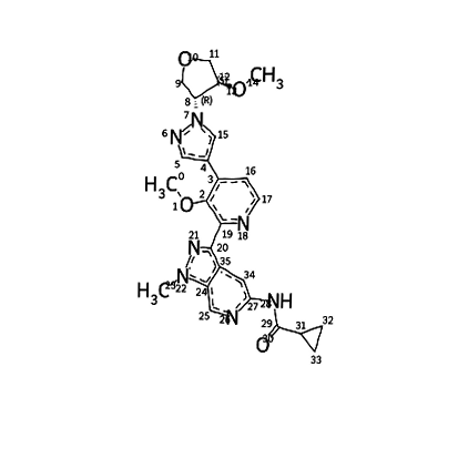 COc1c(-c2cnn([C@@H]3COC[C@H]3OC)c2)ccnc1-c1nn(C)c2cnc(NC(=O)C3CC3)cc12